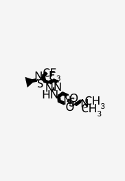 CN(C)CCS(=O)(=O)N1CCC(Nc2ncc(F)c(-c3sc(C4CC4)nc3C(F)(F)F)n2)CC1